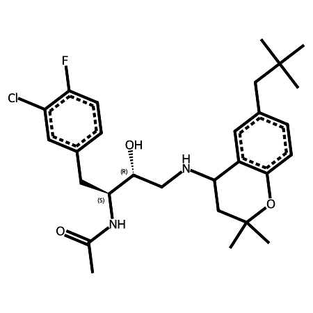 CC(=O)N[C@@H](Cc1ccc(F)c(Cl)c1)[C@H](O)CNC1CC(C)(C)Oc2ccc(CC(C)(C)C)cc21